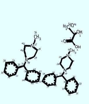 CC(O)C(=O)O.CN1CCN(C(c2ccccc2)c2ccccc2)CC1.CN1CCN(C(c2ccccc2)c2ccccc2)CC1.Cl